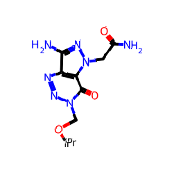 [CH2]C([CH2])OCn1nnc2c(N)nn(CC(N)=O)c2c1=O